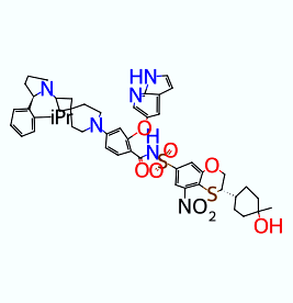 CC(C)c1ccccc1[C@H]1CCCN1C1CC2(CCN(c3ccc(C(=O)NS(=O)(=O)c4cc5c(c([N+](=O)[O-])c4)S[C@@H](C4CCC(C)(O)CC4)CO5)c(Oc4cnc5[nH]ccc5c4)c3)CC2)C1